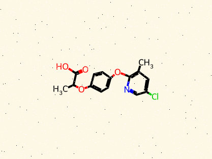 Cc1cc(Cl)cnc1Oc1ccc(OC(C)C(=O)O)cc1